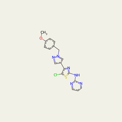 COc1ccc(Cn2cc(-c3nc(Nc4ncccn4)sc3Cl)cn2)cc1